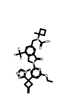 C=C1CC(c2cc(OCC)nc(N3Cc4c(cc(CN(C(=O)O)C5(C)CCC5)cc4C(F)(F)F)C3=O)c2)(c2nncn2C)C1